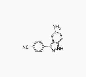 N#Cc1ccc(-c2n[nH]c3ccc(N)cc23)cc1